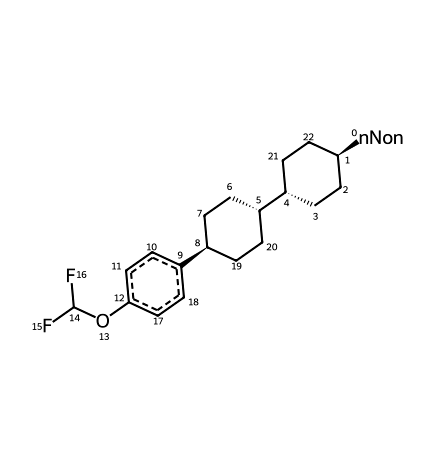 CCCCCCCCC[C@H]1CC[C@H]([C@H]2CC[C@H](c3ccc(OC(F)F)cc3)CC2)CC1